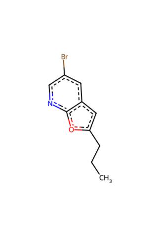 CCCc1cc2cc(Br)cnc2o1